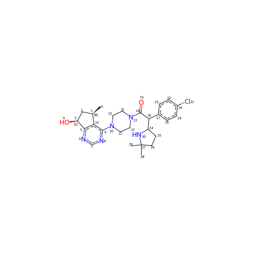 C[C@@H]1C[C@H](O)c2ncnc(N3CCN(C(=O)C(c4ccc(Cl)cc4)C4CCC(C)(C)N4)CC3)c21